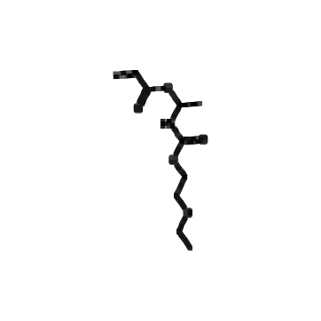 C=CC(=O)OC(C)NC(=O)OCCOCC